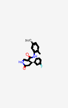 COc1ccc(C)c(NC(=O)C2=CNC(=O)C[C@@H]2c2cccc(F)c2)c1